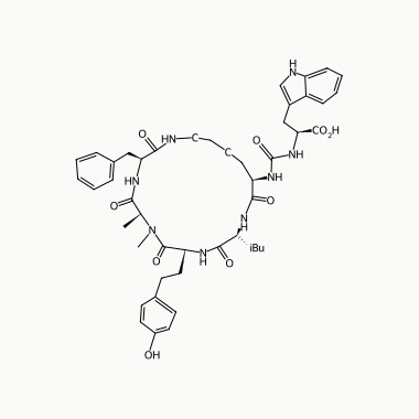 CC[C@@H](C)[C@@H]1NC(=O)[C@H](NC(=O)N[C@@H](Cc2c[nH]c3ccccc23)C(=O)O)CCCCNC(=O)[C@H](Cc2ccccc2)NC(=O)[C@H](C)N(C)C(=O)[C@H](CCc2ccc(O)cc2)NC1=O